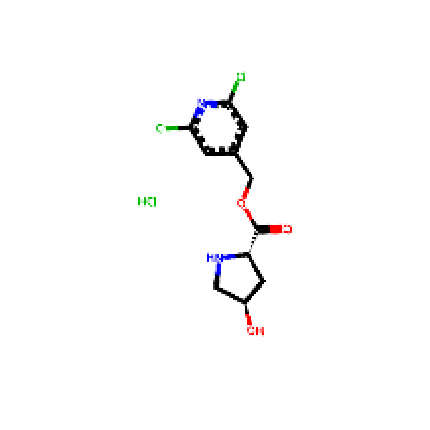 Cl.O=C(OCc1cc(Cl)nc(Cl)c1)[C@@H]1C[C@@H](O)CN1